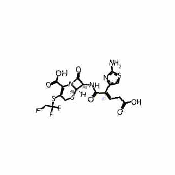 Nc1nc(/C(=C\CC(=O)O)C(=O)N[C@@H]2C(=O)N3C(C(=O)O)=C(SC(F)(F)CF)CS[C@H]23)cs1